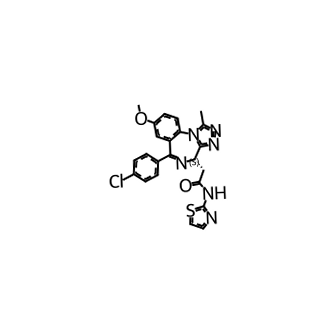 COc1ccc2c(c1)C(c1ccc(Cl)cc1)=N[C@@H](CC(=O)Nc1nccs1)c1nnc(C)n1-2